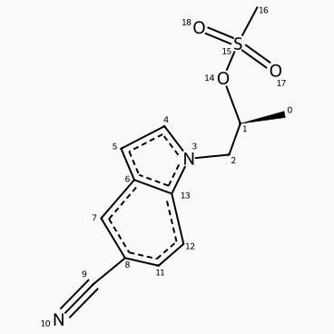 C[C@@H](Cn1ccc2cc(C#N)ccc21)OS(C)(=O)=O